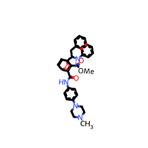 COC(=O)C1=C(C(=O)Nc2ccc(N3CCN(C)CC3)cc2)C2C=CC1(C(Cc1ccccc1)Nc1ccccc1)O2